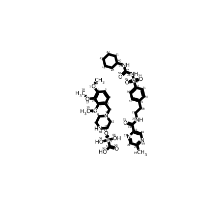 COc1ccc(CN2CCNCC2)c(OC)c1OC.Cc1cnc(C(=O)NCCc2ccc(S(=O)(=O)NC(=O)NC3CCCCC3)cc2)cn1.O=C(O)P(=O)(O)O